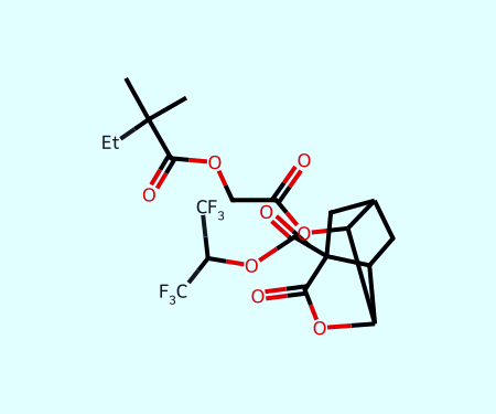 CCC(C)(C)C(=O)OCC(=O)OC1C2CC3C1OC(=O)C3(C(=O)OC(C(F)(F)F)C(F)(F)F)C2